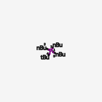 CCCC[P](CCCC)(CCCC)C(C)(C)C